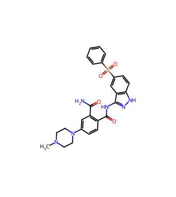 CN1CCN(c2ccc(C(=O)Nc3n[nH]c4ccc(S(=O)(=O)c5ccccc5)cc34)c(C(N)=O)c2)CC1